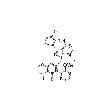 COc1cccnc1-n1c(Cn2nc(-c3cccc(O)c3)c3c(N)ncnc32)cc2cccc(C)c2c1=O